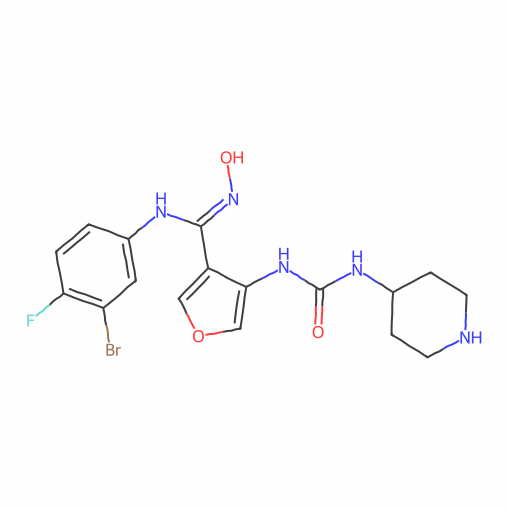 O=C(Nc1cocc1/C(=N/O)Nc1ccc(F)c(Br)c1)NC1CCNCC1